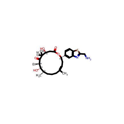 CC[C@H]1C(=O)C(C)(C)[C@@H](O)CC(=O)O[C@H](c2ccc3sc(CN)nc3c2)CC=C(C)CCC[C@H](C)[C@@H]1O